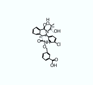 C[C@H](O)[C@H](CO)N1C(=O)c2ccccc2[C@@H](C(=O)NOCc2cccc(C(=O)O)c2)[C@@H]1c1ccc(Cl)cc1